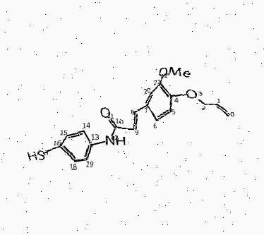 C=CCOc1ccc(/C=C/C(=O)Nc2ccc(S)cc2)cc1OC